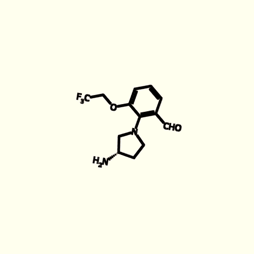 N[C@H]1CCN(c2c(C=O)cccc2OCC(F)(F)F)C1